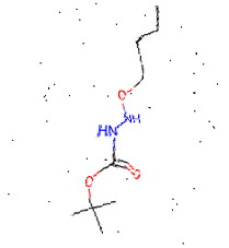 CCCCONNC(=O)OC(C)(C)C